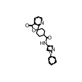 O=C1OC2(CCC(C(=O)Nc3cnn(-c4ccccc4)c3)CC2)c2ncccc21